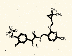 CCS(=O)(=O)Nc1ccc(C(C)C(=O)NCc2ccc(C(F)(F)F)nc2OCC2CC2(C)C)cc1F